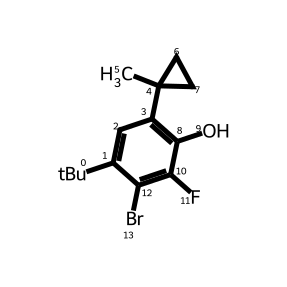 CC(C)(C)c1cc(C2(C)CC2)c(O)c(F)c1Br